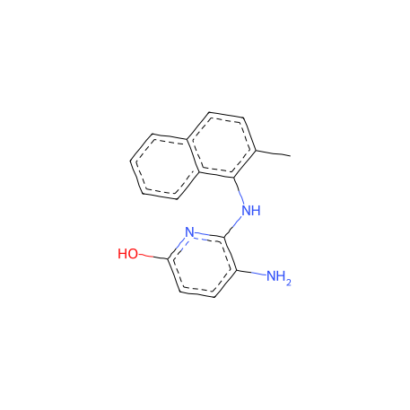 Cc1ccc2ccccc2c1Nc1nc(O)ccc1N